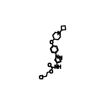 O=C(Nc1cnn(-c2ccc(OC3CCN(C4CCC4)CC3)cc2)c1)OCCCl